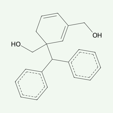 OCC1=CC(CO)(C(c2ccccc2)c2ccccc2)CC=C1